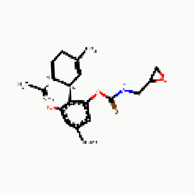 C=C(C)[C@@H]1CCC(C)=C[C@H]1c1c(O)cc(CCCCC)cc1OC(=S)NCC1CO1